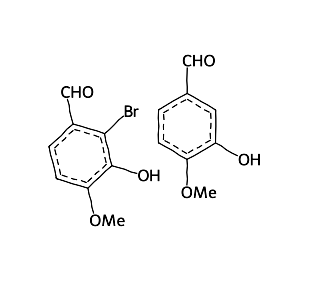 COc1ccc(C=O)c(Br)c1O.COc1ccc(C=O)cc1O